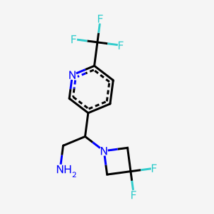 NCC(c1ccc(C(F)(F)F)nc1)N1CC(F)(F)C1